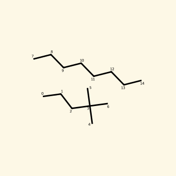 CCCC(C)(C)C.CCCCCCCC